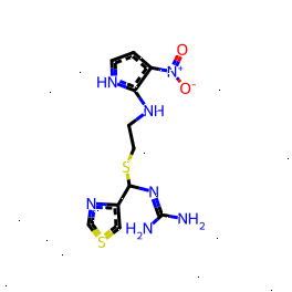 NC(N)=NC(SCCNc1[nH]ccc1[N+](=O)[O-])c1cscn1